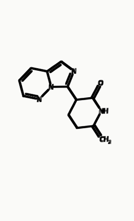 C=C1CCC(c2ncc3cccnn23)C(=O)N1